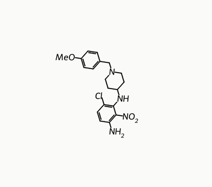 COc1ccc(CN2CCC(Nc3c(Cl)ccc(N)c3[N+](=O)[O-])CC2)cc1